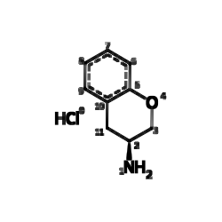 Cl.N[C@@H]1COc2ccccc2C1